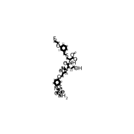 COC(=O)C(CSCc1cccc(OCCF)c1)NC(=O)[C@H](CCO)n1cc(COc2ccc3nc(S(N)(=O)=O)sc3c2)nn1